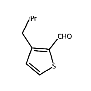 CC(C)Cc1ccsc1C=O